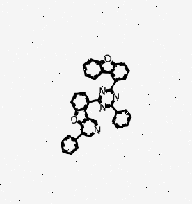 c1ccc(-c2nc(-c3cccc4oc5ccccc5c34)nc(-c3cccc4oc5c(-c6ccccc6)cncc5c34)n2)cc1